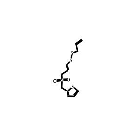 C=CCSS/C=C/CS(=O)(=O)Cc1cccs1